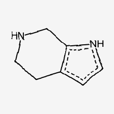 c1cc2c([nH]1)CNCC2